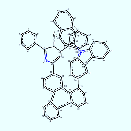 CCC1C(c2ccccc2)=NC(c2ccc3c4ccccc4c4cccc(-c5ccc6c(c5)c5ccccc5n6-c5ccc6ccccc6c5)c4c3c2)=CC1c1ccccc1